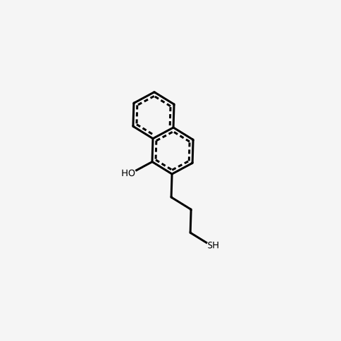 Oc1c(CCCS)ccc2ccccc12